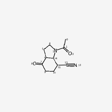 CC(=O)N1CCC2C(=O)CCC(C#N)C21